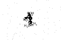 CNc1ncc(-c2ccc3c(=O)c(C(=O)O)cn(C4CC4)c3c2C)cc1C.[K]